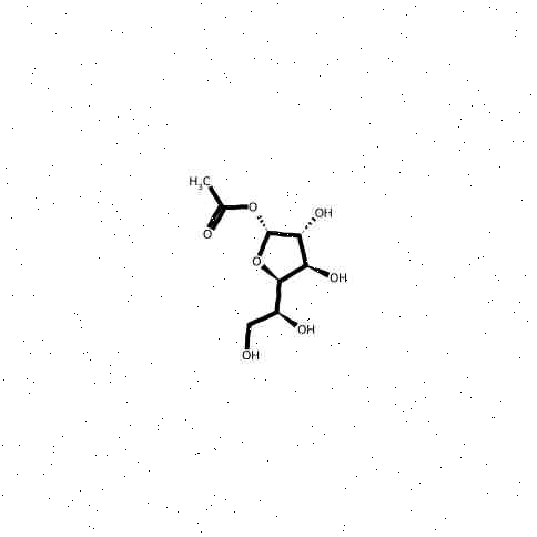 CC(=O)O[C@H]1O[C@H]([C@@H](O)CO)[C@H](O)[C@H]1O